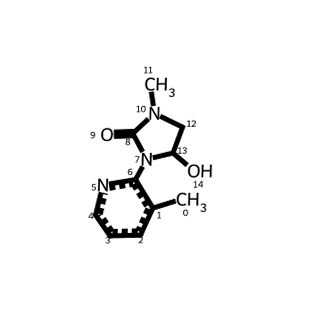 Cc1cccnc1N1C(=O)N(C)CC1O